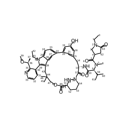 CCN1CC(C(=O)N(C)[C@H](C(=O)N[C@H]2Cc3cc(O)cc(c3)-c3ccc4c(c3)c(c(-c3cccnc3[C@H](C)OC)n4CC)CC(C)(C)COC(=O)[C@@H]3CCCN(N3)C2=O)C(C)C)CC1=O